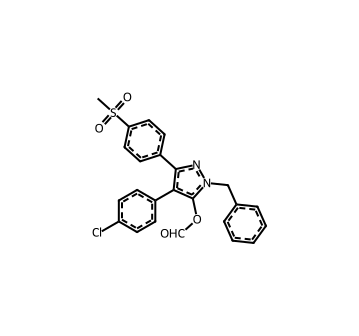 CS(=O)(=O)c1ccc(-c2nn(Cc3ccccc3)c(OC=O)c2-c2ccc(Cl)cc2)cc1